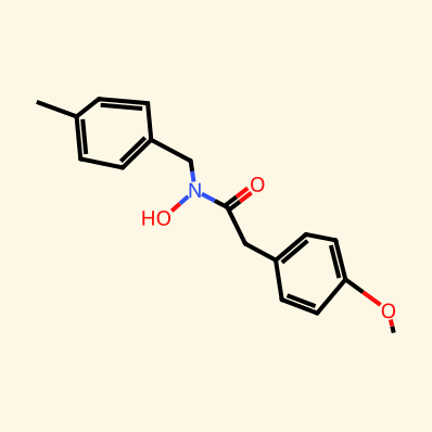 COc1ccc(CC(=O)N(O)Cc2ccc(C)cc2)cc1